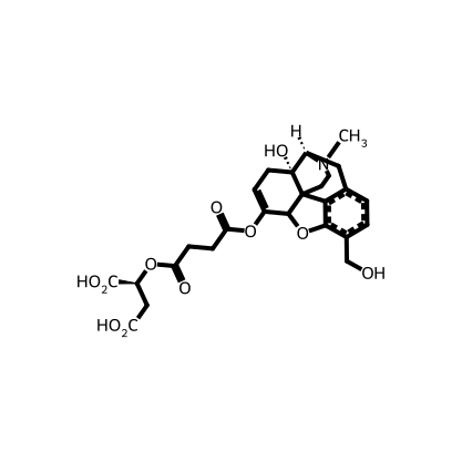 CN1CCC23c4c5ccc(CO)c4OC2C(OC(=O)CCC(=O)O[C@@H](CC(=O)O)C(=O)O)=CC[C@@]3(O)[C@H]1C5